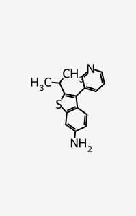 CC(C)c1sc2cc(N)ccc2c1-c1cccnc1